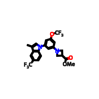 COC(=O)C1CN(c2cc(OC(F)(F)F)cc(-n3cc(C)c4cc(C(F)(F)F)ccc43)c2)C1